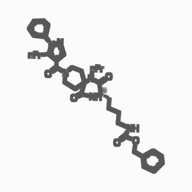 CCCc1c(C(=O)N2CCC3(CC2)C(=O)N[C@@H](CCCCNC(=O)OCc2ccccc2)C(=O)N3CCC)cnn1-c1ccccc1